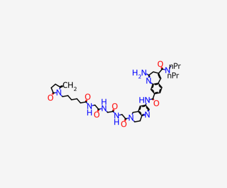 C=C1CCC(=O)N1CCCCCC(=O)NCC(=O)NCC(=O)NCC(=O)N1CCc2ncc(NC(=O)c3ccc4c(c3)N=C(N)CC(C(=O)N(CCC)CCC)=C4)cc2C1